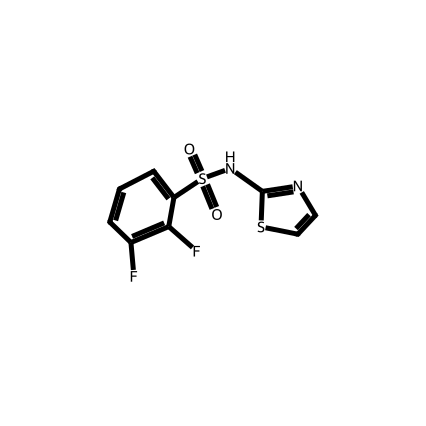 O=S(=O)(Nc1nccs1)c1cccc(F)c1F